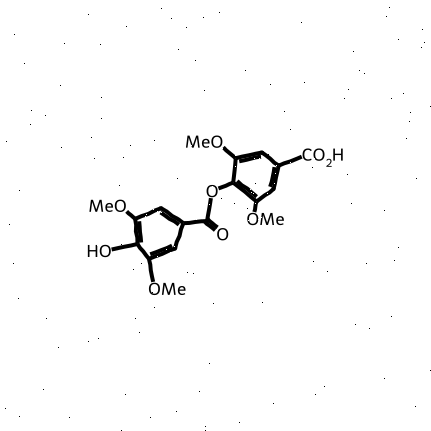 COc1cc(C(=O)Oc2c(OC)cc(C(=O)O)cc2OC)cc(OC)c1O